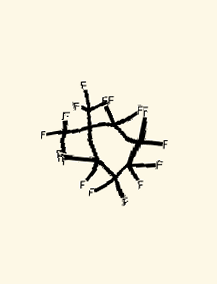 FC(F)(F)C1(C(F)(F)F)C(F)(F)C(F)(F)C(F)(F)C(F)(F)C1(F)F